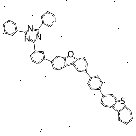 c1ccc(-c2nc(-c3ccccc3)nc(-c3cccc(-c4ccc5c(c4)oc4ccc(-c6ccc(-c7ccc8c(c7)sc7ccccc78)cc6)cc45)c3)n2)cc1